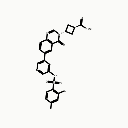 CNC(=O)[C@H]1C[C@H](n2cnc3ccc(-c4cncc(NS(=O)(=O)c5ccc(F)cc5Cl)c4)cc3c2=O)C1